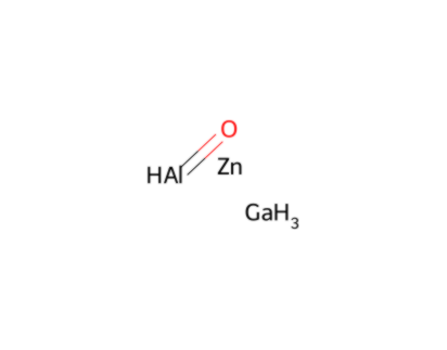 [GaH3].[O]=[AlH].[Zn]